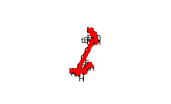 Cc1ncsc1-c1ccc(CNC(=O)[C@@H]2CCCN2C(=O)C(NC(=O)CCCCCOCCCCCOCCCCCCOCCCn2c(CNc3cccc(C(=O)NCc4c(F)cccc4F)c3)nnc2-c2ccncn2)C(C)(C)C)cc1